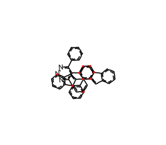 C1=CC2(C3=Cc4ccccc4C3=C1)C1=Cc3ccccc3C1=CC=C2c1c(-c2ccccc2)nnnc1-c1ccccc1-c1ccccc1